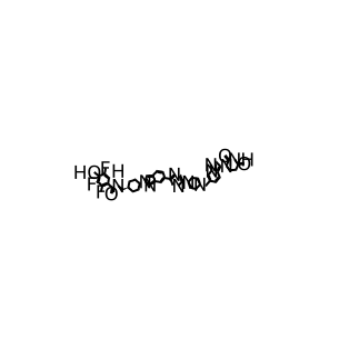 O=C1CCN(c2cnn3cc(CN4CCN(c5cnc(-c6ccc7cn([C@H]8CC[C@H](CNC(=O)c9cc(F)c(O)c(F)c9F)CC8)nc7c6)cn5)CC4)ccc23)C(=O)N1